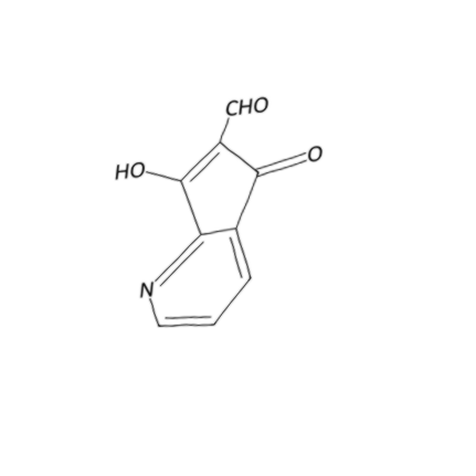 O=CC1=C(O)c2ncccc2C1=O